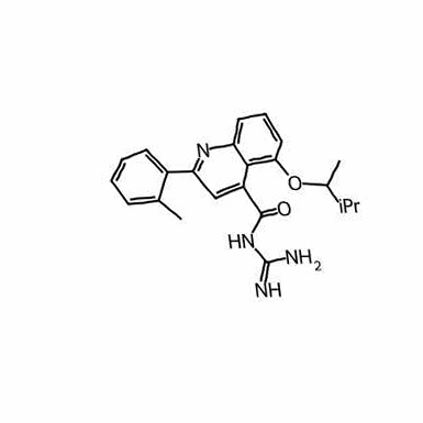 Cc1ccccc1-c1cc(C(=O)NC(=N)N)c2c(OC(C)C(C)C)cccc2n1